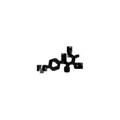 CC(S)=C(C#N)C(=O)Nc1ccc(C(F)(F)F)cc1